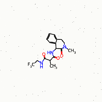 CC(C(=O)NCC(F)(F)F)C(=O)NC1C(=O)N(C)CCc2ccccc21